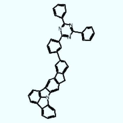 c1ccc(-c2nc(-c3ccccc3)nc(-c3cccc(-c4ccc5c(c4)-c4cc6c7cccc8c9ccccc9n(c6cc4C5)c87)c3)n2)cc1